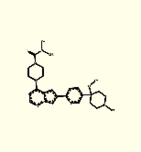 CCOC1(c2ccc(-c3cc4c(N5CCN(C(=O)N(C)C(C)C)CC5)ccnn4c3)nc2)CCN(C(C)C)CC1